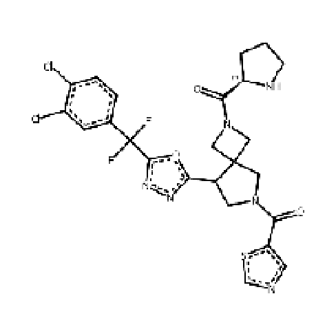 O=C(c1cncs1)N1CC(c2nnc(C(F)(F)c3ccc(Cl)c(Cl)c3)o2)C2(C1)CN(C(=O)[C@H]1CCCN1)C2